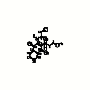 COCCNC1=C(N(C)C(=O)CCl)C(=O)c2ccccc2C1=O